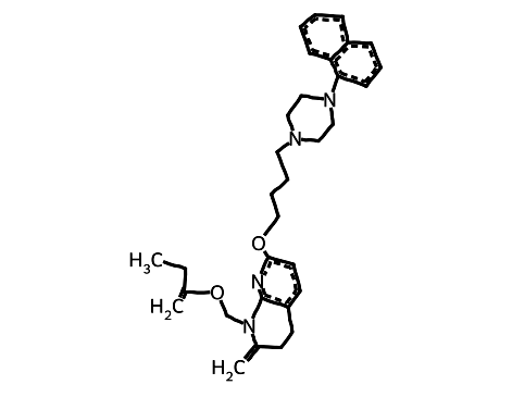 C=C(CC)OCN1C(=C)CCc2ccc(OCCCCN3CCN(c4cccc5ccccc45)CC3)nc21